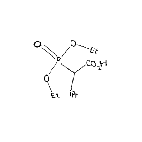 CCOP(=O)(OCC)C(C(=O)O)C(C)C